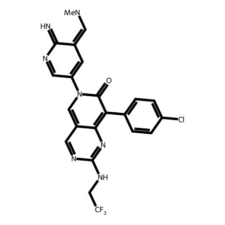 CN/C=C1/C=C(n2cc3cnc(NCC(F)(F)F)nc3c(-c3ccc(Cl)cc3)c2=O)C=NC1=N